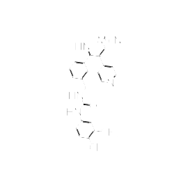 CN/C=C(\C(=N)c1cccc(CNC(=O)Nc2ccc(Cl)c(C(F)(F)F)c2)c1)c1ccncc1